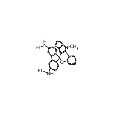 CCNc1ccc2c(c1)-c1cc(NCC)ccc1C21Oc2ccccc2-c2c1c1ccccc1n2C